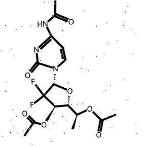 CC(=O)Nc1ccn([C@@H]2O[C@H]([C@H](C)OC(C)=O)[C@@H](OC(C)=O)C2(F)F)c(=O)n1